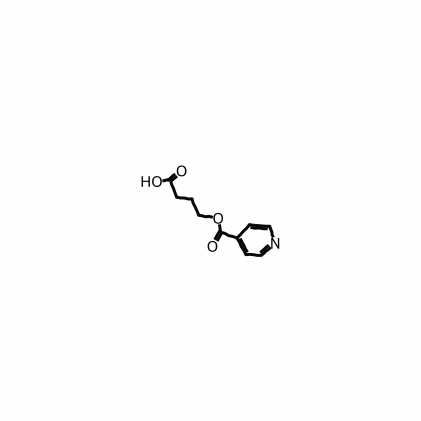 O=C(O)CCCOC(=O)c1ccncc1